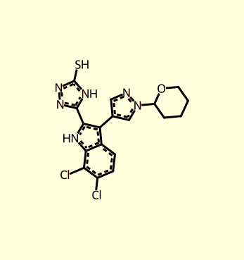 Sc1nnc(-c2[nH]c3c(Cl)c(Cl)ccc3c2-c2cnn(C3CCCCO3)c2)[nH]1